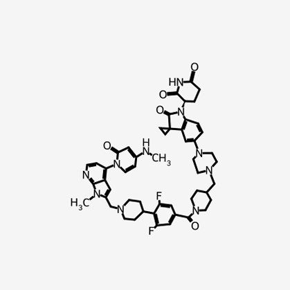 CNc1ccn(-c2ccnc3c2cc(CN2CCC(c4c(F)cc(C(=O)N5CCC(CN6CCN(c7ccc8c(c7)C7(CC7)C(=O)N8[C@@H]7CCC(=O)NC7=O)CC6)CC5)cc4F)CC2)n3C)c(=O)c1